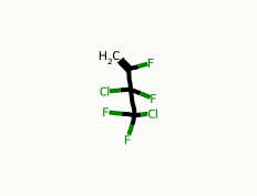 C=C(F)C(F)(Cl)C(F)(F)Cl